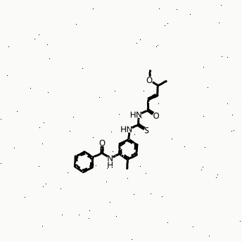 COC(C)/C=C/C(=O)NC(=S)Nc1ccc(C)c(NC(=O)c2ccccc2)c1